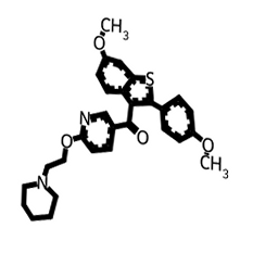 COc1ccc(-c2sc3cc(OC)ccc3c2C(=O)c2ccc(OCCN3CCCCC3)nc2)cc1